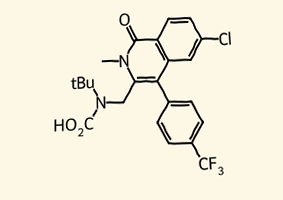 Cn1c(CN(C(=O)O)C(C)(C)C)c(-c2ccc(C(F)(F)F)cc2)c2cc(Cl)ccc2c1=O